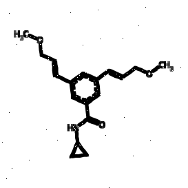 COCC=Cc1cc(C=CCOC)cc(C(=O)NC2CC2)c1